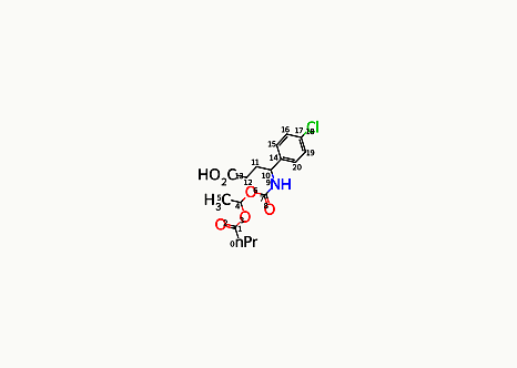 CCCC(=O)OC(C)OC(=O)NC(CCC(=O)O)c1ccc(Cl)cc1